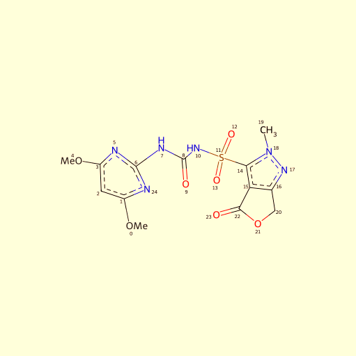 COc1cc(OC)nc(NC(=O)NS(=O)(=O)c2c3c(nn2C)COC3=O)n1